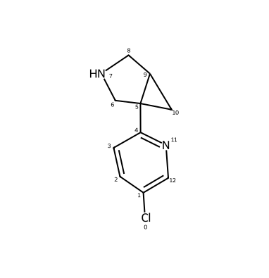 Clc1ccc(C23CNCC2C3)nc1